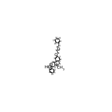 CC(Cc1ccc(OCCOCCc2ccccc2)cc1)N1CCOC(O)(c2ccccc2)C1